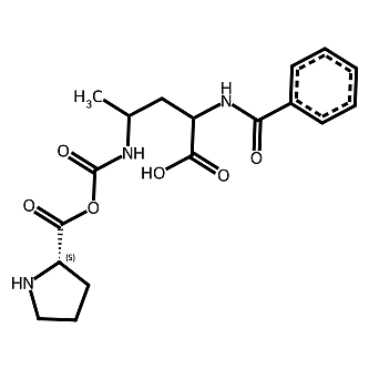 CC(CC(NC(=O)c1ccccc1)C(=O)O)NC(=O)OC(=O)[C@@H]1CCCN1